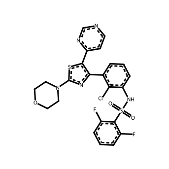 O=S(=O)(Nc1cccc(-c2nc(N3CCOCC3)sc2-c2ccncn2)c1Cl)c1c(F)cccc1F